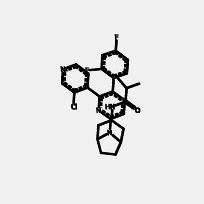 CC(C)C(=O)NC1CC2CCC(C1)N2c1cnc(-c2ccc(F)cc2F)c(-c2ccncc2Cl)n1